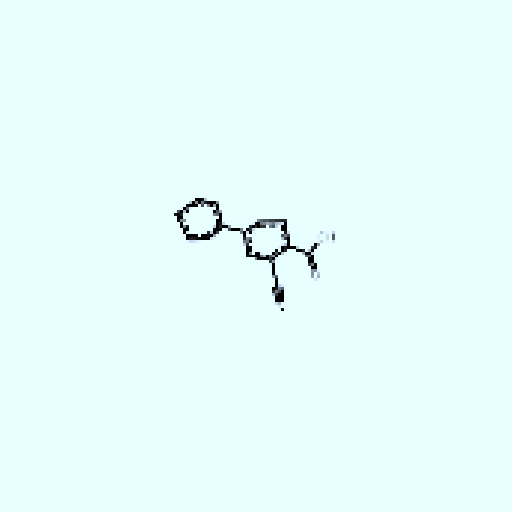 N#Cc1cc(-c2ccccc2)ccc1C(=O)O